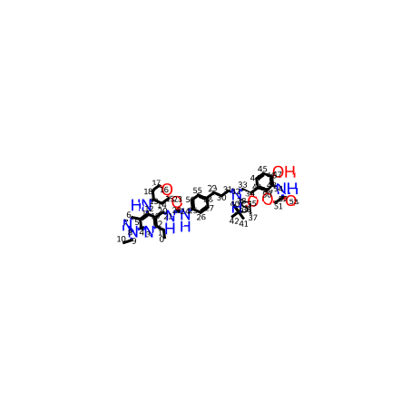 CCc1nc2c(cnn2CC)c(NC2CCOCC2)c1CNC(=O)Nc1ccc(CCCNC[C@H](O[Si](C)(C)C(C)(C)C)c2ccc(O)c3c2OCC(=O)N3)cc1